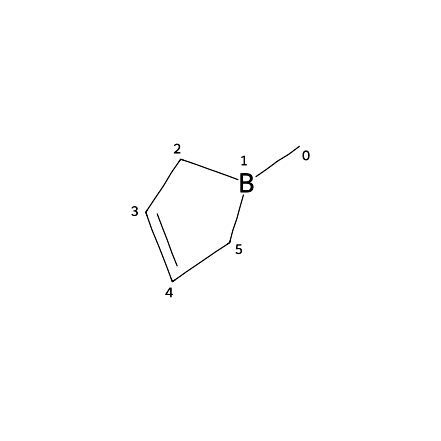 CB1CC=CC1